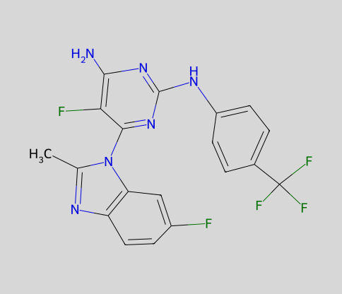 Cc1nc2ccc(F)cc2n1-c1nc(Nc2ccc(C(F)(F)F)cc2)nc(N)c1F